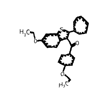 CCOc1ccc(C(=O)c2c(-c3ccccc3)sc3cc(OCC)ccc23)cc1